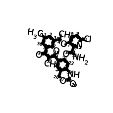 Cc1cc([C@@H](C)Oc2ccc(Cl)nc2C(N)=O)c2oc(-c3ccc4c(c3)COC(=O)N4)c(C)c(=O)c2c1